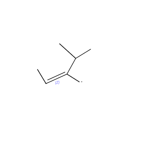 [CH2]/C(=C/C)C(C)C